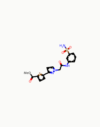 COC(=O)c1ccc(-c2ccn(CC(=O)Nc3cccc(S(N)(=O)=O)c3)n2)s1